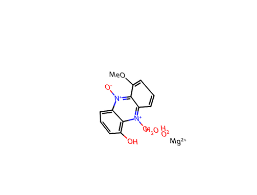 COc1cccc2c1[n+]([O-])c1cccc(O)c1[n+]2[O-].O.O.[Mg+2]